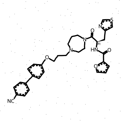 N#Cc1ccc(-c2ccc(OCCCN3CCCN(C(=O)[C@@H](Cc4cscn4)NC(=O)c4ccco4)CC3)cc2)cc1